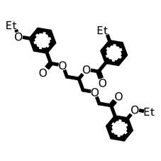 CCOc1cccc(C(=O)OCC(COCC(=O)c2ccccc2OCC)OC(=O)c2cccc(CC)c2)c1